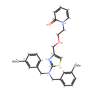 COc1cccc(CN(Cc2cccc(OC)c2)c2nc(COCCn3ccccc3=O)cs2)c1